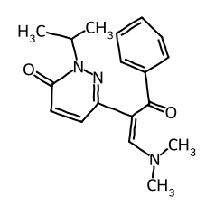 CC(C)n1nc(C(=CN(C)C)C(=O)c2ccccc2)ccc1=O